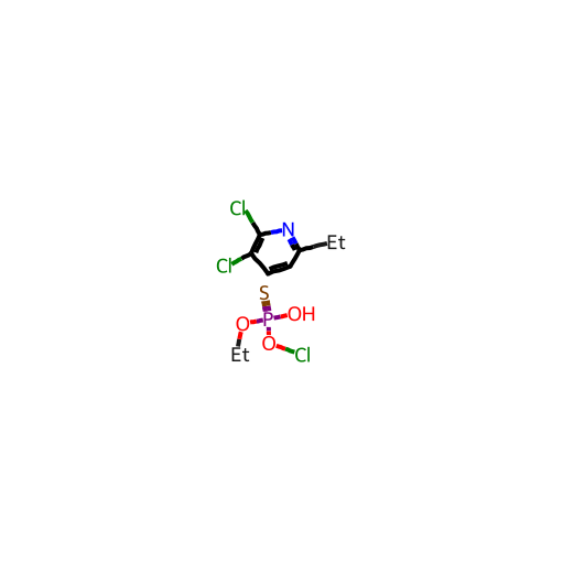 CCOP(O)(=S)OCl.CCc1ccc(Cl)c(Cl)n1